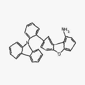 Nc1cccc2oc3ccc(-c4ccccc4-n4c5ccccc5c5ccccc54)cc3c12